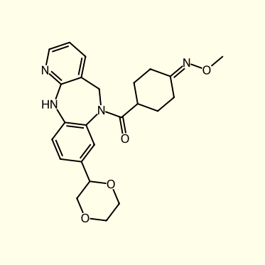 CON=C1CCC(C(=O)N2Cc3cccnc3Nc3ccc(C4COCCO4)cc32)CC1